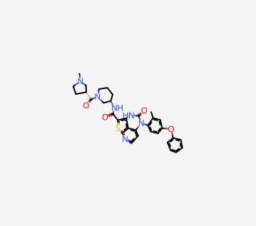 Cc1cc(Oc2ccccc2)ccc1N1C(=O)Nc2c(C(=O)N[C@@H]3CCCN(C(=O)[C@@H]4CCN(C)C4)C3)sc3nccc1c23